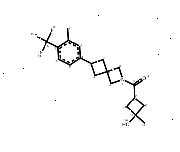 Cc1cc(C2CC3(C2)CN(C(=O)C2CC(C)(O)C2)C3)ccc1C(F)(F)F